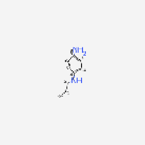 [CH2]CCNc1ccc(N)cc1